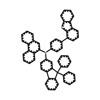 c1ccc(C2(c3ccccc3)c3ccccc3-c3ccc(N(c4ccc(-c5cccc6c5sc5ccccc56)cc4)c4cc5ccccc5c5ccccc45)cc32)cc1